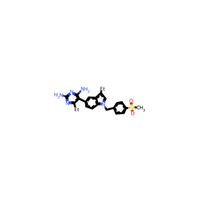 CCc1nc(N)nc(N)c1-c1ccc2c(c1)c(CC)cn2Cc1ccc(S(C)(=O)=O)cc1